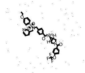 CCOc1ccc(S(=O)(=O)N(Cc2ccc(C(=O)N[C@H]3[C@@H]4CN(C(=O)c5ccc(OC(F)(F)F)cc5)C[C@@H]43)cc2)Cc2cccnc2)cc1